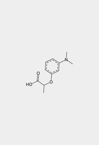 CC(Oc1cccc(N(C)C)c1)C(=O)O